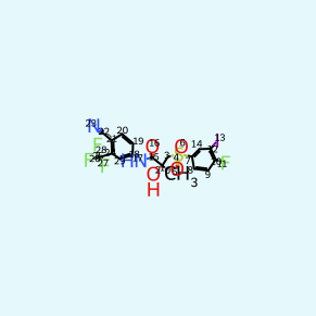 CC(O)(CS(=O)(=O)c1ccc(F)c(I)c1)C(=O)Nc1ccc(C#N)c(C(F)(F)F)c1